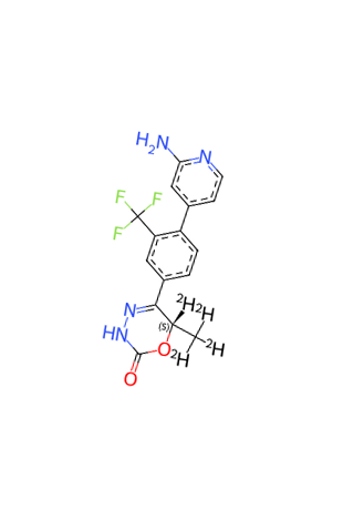 [2H]C([2H])([2H])[C@]1([2H])OC(=O)NN=C1c1ccc(-c2ccnc(N)c2)c(C(F)(F)F)c1